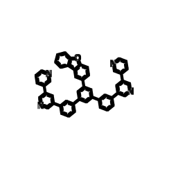 c1cncc(-c2cncc(-c3cccc(-c4cc(-c5cccc(-c6cncc(-c7cccnc7)c6)c5)cc(-c5ccc6oc7ccccc7c6c5)c4)c3)c2)c1